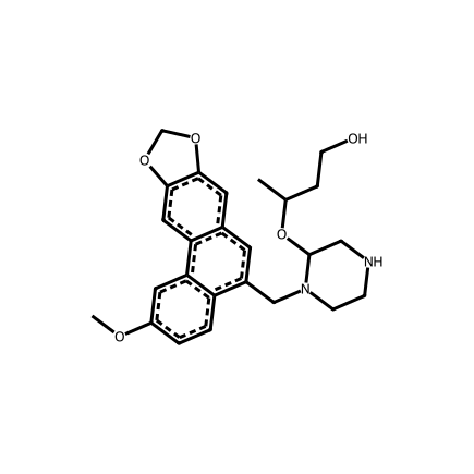 COc1ccc2c(CN3CCNCC3OC(C)CCO)cc3cc4c(cc3c2c1)OCO4